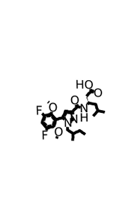 CCC(C)Cn1nc(C(=O)N[C@H](CC(=O)O)CC(C)C)cc1-c1c(OC)c(F)cc(F)c1OC